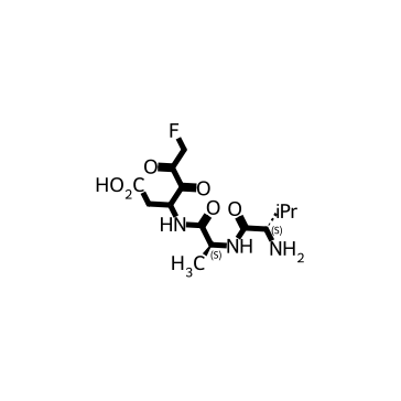 CC(C)[C@H](N)C(=O)N[C@@H](C)C(=O)NC(CC(=O)O)C(=O)C(=O)CF